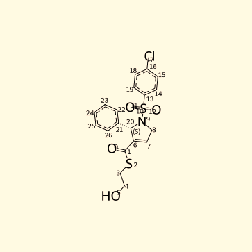 O=C(SCCO)C1=CCN(S(=O)(=O)c2ccc(Cl)cc2)[C@H]1c1ccccc1